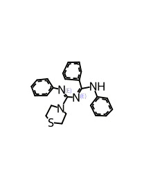 c1ccc(/N=C(/N=C(/Nc2ccccc2)c2ccccc2)N2CCSCC2)cc1